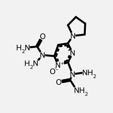 NC(=O)N(N)c1cc(N2CCCC2)nc(N(N)C(N)=O)[n+]1[O-]